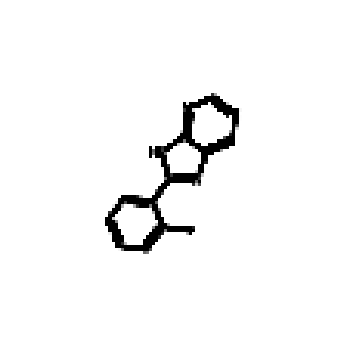 Fc1ccccc1-c1nc2cncnc2[nH]1